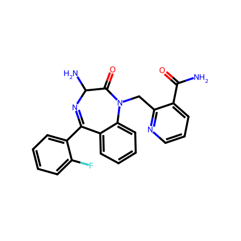 NC(=O)c1cccnc1CN1C(=O)C(N)N=C(c2ccccc2F)c2ccccc21